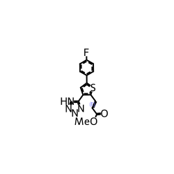 COC(=O)/C=C/c1sc(-c2ccc(F)cc2)cc1-c1nnn[nH]1